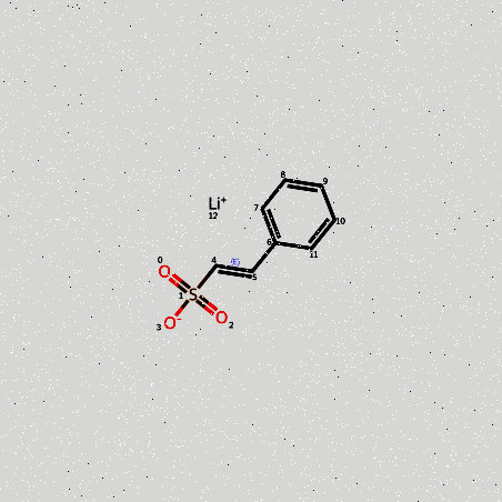 O=S(=O)([O-])/C=C/c1ccccc1.[Li+]